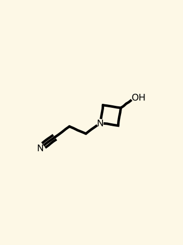 N#CCCN1CC(O)C1